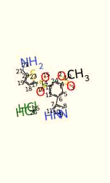 CS(=O)(=O)c1cc(-c2cn[nH]c2)cc(S(=O)(=O)c2ccc(CN)s2)c1.Cl.Cl